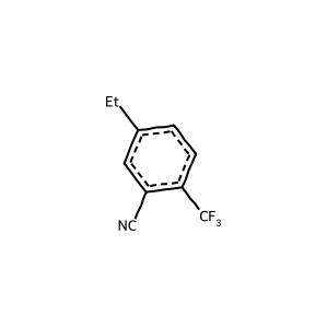 [CH2]Cc1ccc(C(F)(F)F)c(C#N)c1